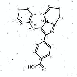 O=C(O)c1ccc(-c2nc3ccccn3c2Nc2ccccc2)cc1